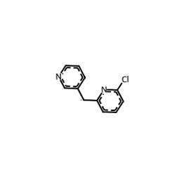 Clc1cccc([CH]c2cccnc2)n1